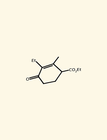 CCOC(=O)C1CCC(=O)C(CC)=C1C